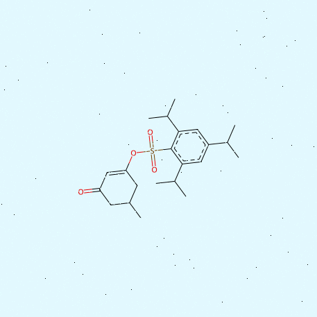 CC1CC(=O)C=C(OS(=O)(=O)c2c(C(C)C)cc(C(C)C)cc2C(C)C)C1